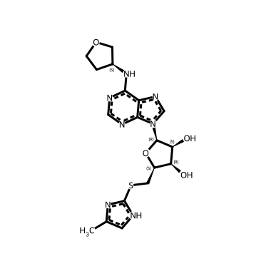 Cc1c[nH]c(SC[C@H]2O[C@@H](n3cnc4c(N[C@H]5CCOC5)ncnc43)[C@@H](O)[C@H]2O)n1